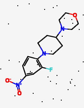 O=[N+]([O-])c1ccc(N2CCC(N3CCOCC3)CC2)c(F)c1